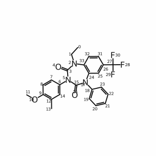 CCN1C(=O)N(c2ccc(OC)c(C)c2)C(=O)N(c2ccccc2)c2cc(C(F)(F)F)ccc21